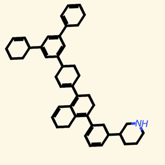 C1=CCCC(c2cc(C3C=CCCC3)cc(C3CC=C(C4=C5C=CCCC5=C(C5=CC=CC(C6CCCNC6)C5)CC4)CC3)c2)=C1